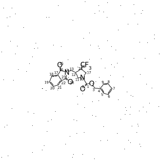 O=C(OCc1ccccc1)N1CC(CN2C(=O)c3ccccc3C2=O)C(C(F)(F)F)C1